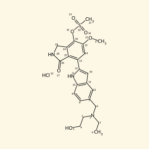 CCN(CCO)Cc1ccc2[nH]c(-c3cc(OC)c(OS(C)(=O)=O)c4c3C(=O)NC4)cc2c1.Cl